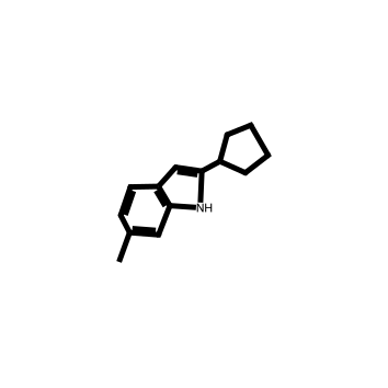 Cc1ccc2cc(C3CCCC3)[nH]c2c1